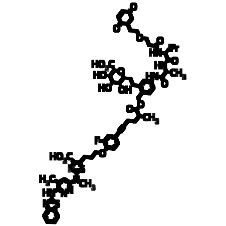 Cc1cc(N(C)c2nc(C(=O)O)c(CCCOc3ccc(C#CCCC(C)C(=O)OCc4ccc(NC(=O)[C@H](C)NC(=O)[C@@H](NC(=O)CCOCCC5CC(=O)C=CC5=O)C(C)C)cc4CC[C@@H]4O[C@H](C(=O)O)[C@@H](O)[C@H](O)[C@H]4O)cc3F)s2)nnc1Nc1nc2ccccc2s1